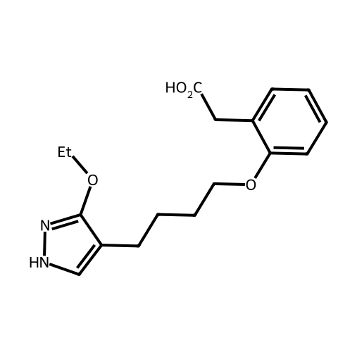 CCOc1n[nH]cc1CCCCOc1ccccc1CC(=O)O